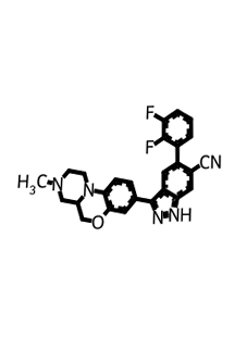 CN1CCN2c3ccc(-c4n[nH]c5cc(C#N)c(-c6cccc(F)c6F)cc45)cc3OCC2C1